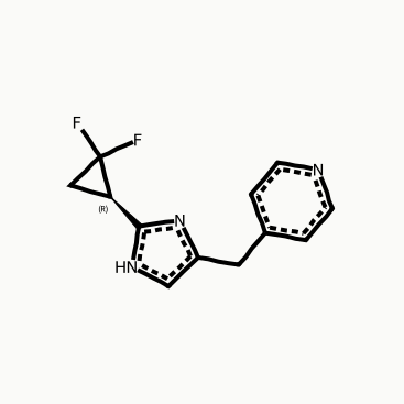 FC1(F)C[C@@H]1c1nc(Cc2ccncc2)c[nH]1